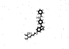 CCN(CCCCOc1ccc2c(-c3ccc(NCc4ccccc4)cc3)nsc2c1)C(C)O